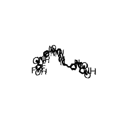 C=C1N(C)c2cc(CCCN3CCN(c4nccc(-c5nc([C@]67CC[C@](CNC(=O)c8cc(F)c(O)c(F)c8F)(CC6)CC7)no5)n4)CC3)ccc2N1C1CCC(=O)NC1=O